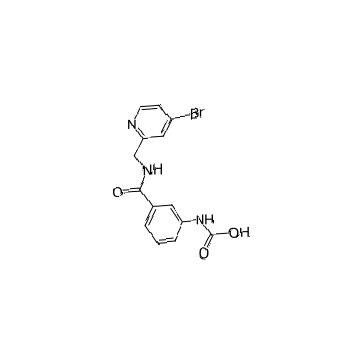 O=C(O)Nc1cccc(C(=O)NCc2cc(Br)ccn2)c1